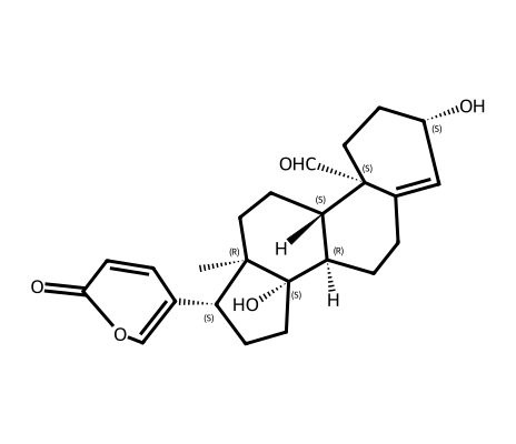 C[C@]12CC[C@H]3[C@@H](CCC4=C[C@@H](O)CC[C@@]43C=O)[C@@]1(O)CC[C@@H]2c1ccc(=O)oc1